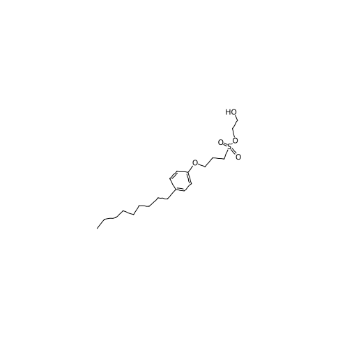 CCCCCCCCCc1ccc(OCCCS(=O)(=O)OCCO)cc1